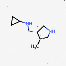 C[C@@H]1CNC[C@H]1CNC1CC1